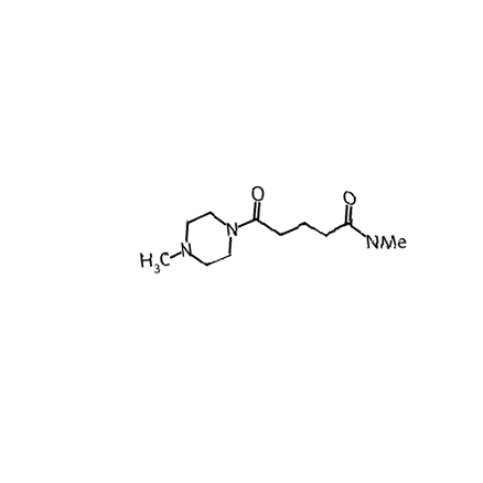 CNC(=O)CCCC(=O)N1CCN(C)CC1